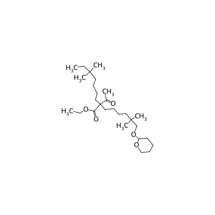 CCOC(=O)C(CCCCC(C)(C)CC)(CCCCC(C)(C)COC1CCCCO1)C(C)=O